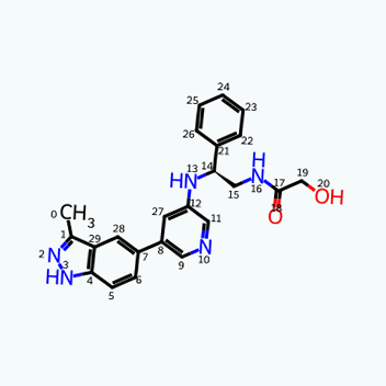 Cc1n[nH]c2ccc(-c3cncc(N[C@H](CNC(=O)CO)c4ccccc4)c3)cc12